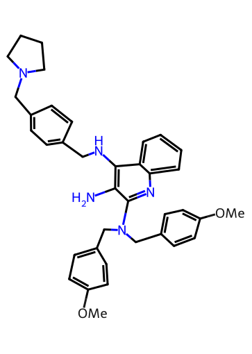 COc1ccc(CN(Cc2ccc(OC)cc2)c2nc3ccccc3c(NCc3ccc(CN4CCCC4)cc3)c2N)cc1